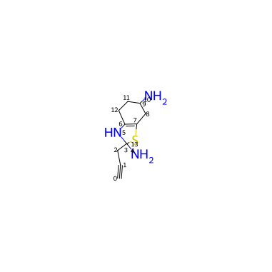 C#CCC1(N)NC2=C(CC(N)CC2)S1